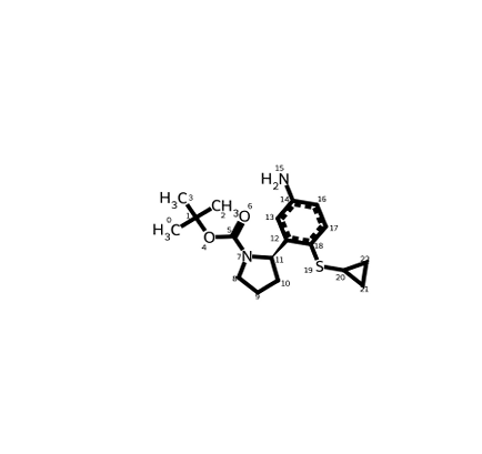 CC(C)(C)OC(=O)N1CCC[C@@H]1c1cc(N)ccc1SC1CC1